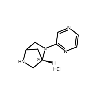 Cl.c1cnc(N2CC3C[C@H]2CN3)cn1